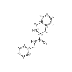 O=C(NCc1ccccn1)[C@@H]1Cc2ccccc2CN1